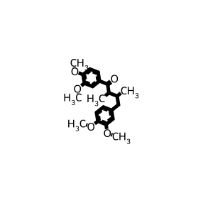 COc1ccc(CC(C)C(C)C(=O)c2ccc(OC)c(OC)c2)cc1OC